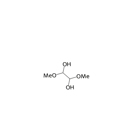 COC(O)C(O)OC